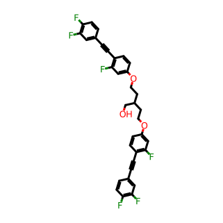 OCC(CCOc1ccc(C#Cc2ccc(F)c(F)c2)c(F)c1)CCOc1ccc(C#Cc2ccc(F)c(F)c2)c(F)c1